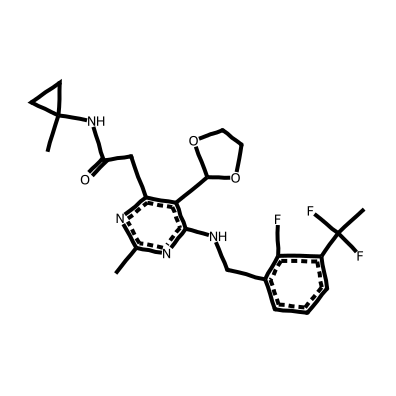 Cc1nc(CC(=O)NC2(C)CC2)c(C2OCCO2)c(NCc2cccc(C(C)(F)F)c2F)n1